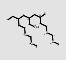 CCC(CCOCOC)CC(CO)CC(C)CCOCOC